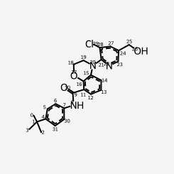 CC(C)(C)c1ccc(NC(=O)c2cccc3c2OCCN3c2ncc(CO)cc2Cl)cc1